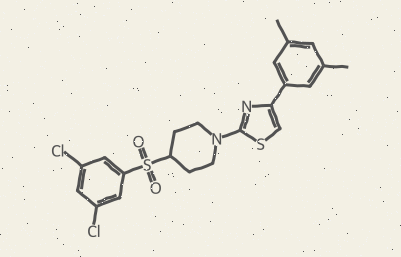 Cc1cc(C)cc(-c2csc(N3CCC(S(=O)(=O)c4cc(Cl)cc(Cl)c4)CC3)n2)c1